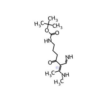 CN/C(C)=C(\C=N)C(=O)CCCNC(=O)OC(C)(C)C